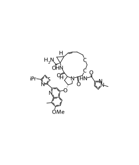 COc1ccc2c(O[C@@H]3C[C@H]4C(=O)N[C@]5(C(N)=O)C[C@H]5/C=C\CCCCC[C@H](NC(=O)c5ccn(C)n5)C(=O)N4C3)cc(-c3nc(C(C)C)cs3)nc2c1C